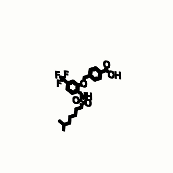 CC(C)CCCCCS(=O)(=O)Nc1ccc(C(F)(F)F)cc1OCc1ccc(C(=O)O)cc1